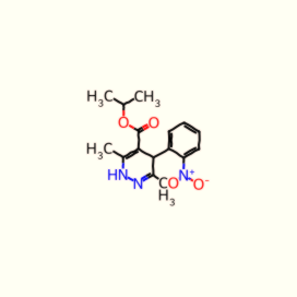 CC1=NNC(C)=C(C(=O)OC(C)C)C1c1ccccc1[N+](=O)[O-]